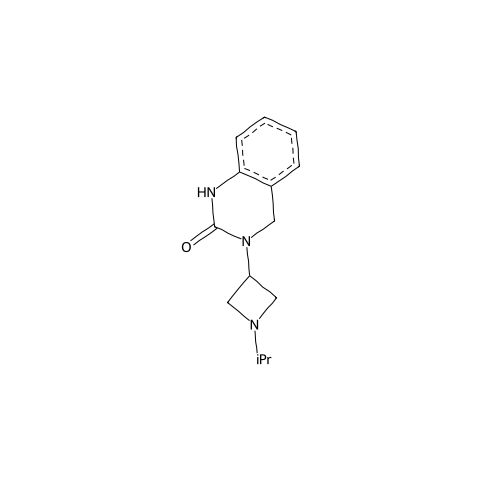 CC(C)N1CC(N2Cc3ccccc3NC2=O)C1